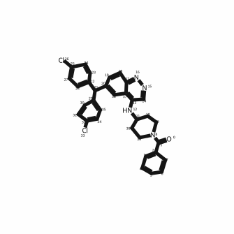 O=C(c1ccccc1)N1CCC(Nc2cnnc3ccc(C(c4ccc(Cl)cc4)c4ccc(Cl)cc4)cc23)CC1